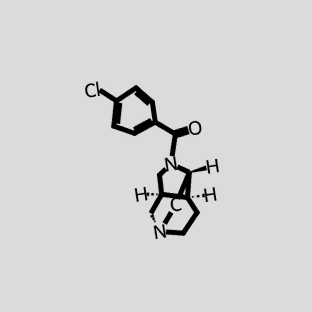 O=C(c1ccc(Cl)cc1)N1C[C@@H]2C[N@@]3CC[C@@H]2[C@@H]1C3